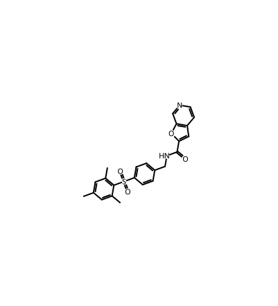 Cc1cc(C)c(S(=O)(=O)c2ccc(CNC(=O)c3cc4ccncc4o3)cc2)c(C)c1